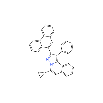 c1ccc(-c2c(-c3cc4ccccc4c4ccccc34)nn3c(C4CC4)cc4ccccc4c23)cc1